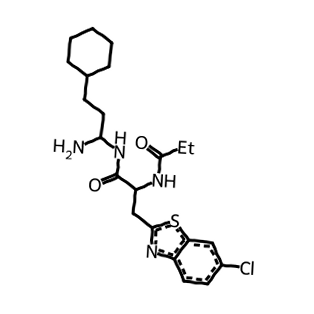 CCC(=O)NC(Cc1nc2ccc(Cl)cc2s1)C(=O)NC(N)CCC1CCCCC1